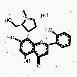 CN1CC[C@H](c2c(O)cc(O)c3c(=O)cc(-c4ccccc4O)oc23)[C@H]1CO.Cl